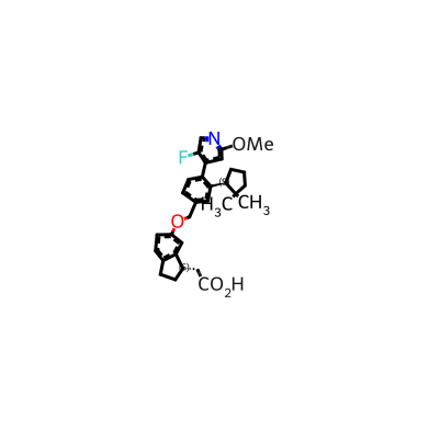 COc1cc(-c2ccc(COc3ccc4c(c3)[C@H](CC(=O)O)CC4)cc2[C@H]2CCCC2(C)C)c(F)cn1